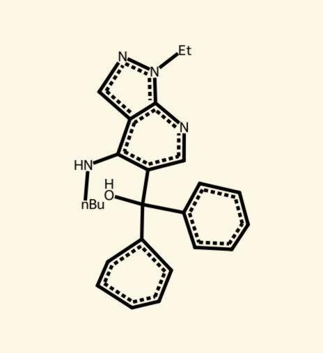 CCCCNc1c(C(O)(c2ccccc2)c2ccccc2)cnc2c1cnn2CC